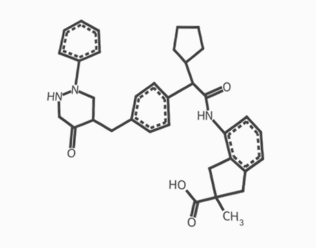 CC1(C(=O)O)Cc2cccc(NC(=O)C(c3ccc(CC4CN(c5ccccc5)NCC4=O)cc3)C3CCCC3)c2C1